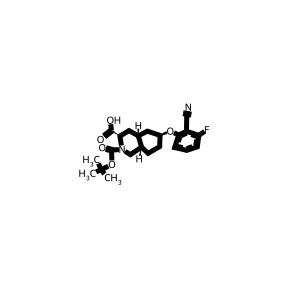 CC(C)(C)OC(=O)N1C[C@@H]2CC[C@H](Oc3cccc(F)c3C#N)C[C@@H]2C[C@H]1C(=O)O